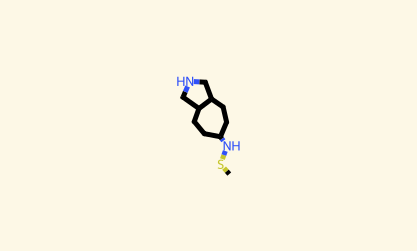 CSNC1CCC2CNCC2CC1